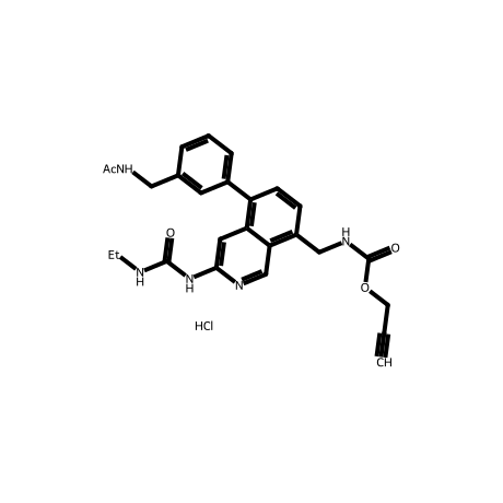 C#CCOC(=O)NCc1ccc(-c2cccc(CNC(C)=O)c2)c2cc(NC(=O)NCC)ncc12.Cl